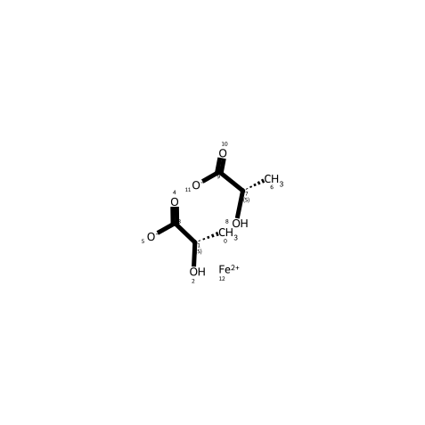 C[C@H](O)C(=O)[O-].C[C@H](O)C(=O)[O-].[Fe+2]